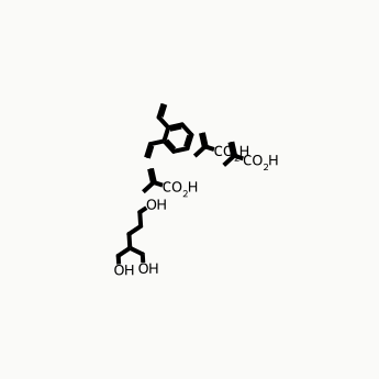 C=C(C)C(=O)O.C=C(C)C(=O)O.C=C(C)C(=O)O.C=Cc1ccccc1C=C.OCCCC(CO)CO